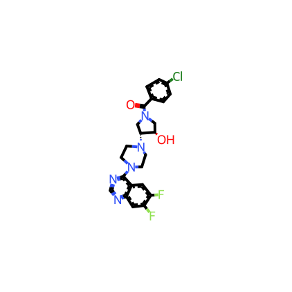 O=C(c1ccc(Cl)cc1)N1C[C@@H](O)[C@H](N2CCN(c3ncnc4cc(F)c(F)cc34)CC2)C1